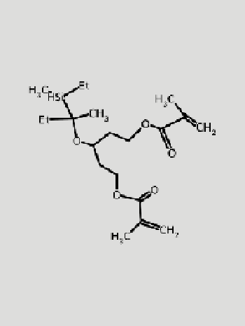 C=C(C)C(=O)OCCC(CCOC(=O)C(=C)C)OC(C)(CC)[SiH](C)CC